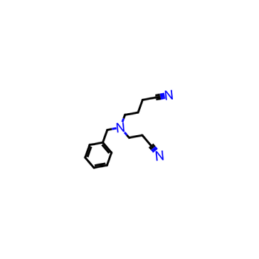 N#CCCCN(CCC#N)Cc1ccccc1